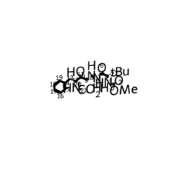 COC(=O)N[C@H](C(=O)NNC[C@H](O)[C@H](Cc1ccccc1)NC(=O)O)C(C)(C)C